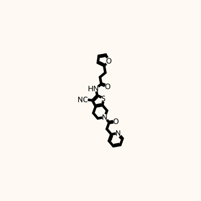 N#Cc1c(NC(=O)CCc2ccco2)sc2c1CCN(C(=O)Cc1ccccn1)C2